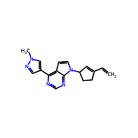 C=CC1=CC(n2ccc3c(-c4cnn(C)c4)ncnc32)CC1